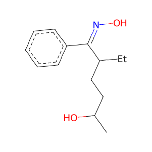 CCC(CCC(C)O)C(=NO)c1ccccc1